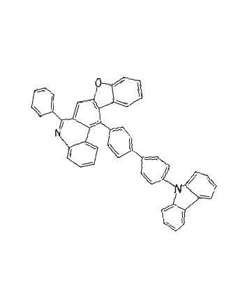 c1ccc(-c2nc3ccccc3c3c(-c4ccc(-c5ccc(-n6c7ccccc7c7ccccc76)cc5)cc4)c4c(cc23)oc2ccccc24)cc1